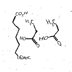 CCC(=O)O.CCC(=O)O.CCCCCCCCCCCCCCCC(=O)O